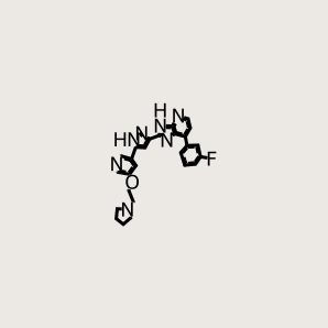 Fc1cccc(-c2ccnc3[nH]c(-c4cc(-c5cncc(OCCN6CCCC6)c5)[nH]n4)nc23)c1